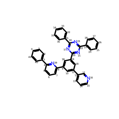 c1ccc(-c2cccc(-c3cc(-c4cccnc4)cc(-c4nc(-c5ccccc5)nc(-c5ccccc5)n4)c3)n2)cc1